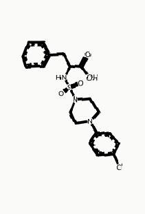 O=C(O)C(Cc1ccccc1)NS(=O)(=O)N1CCN(c2ccc(Cl)cc2)CC1